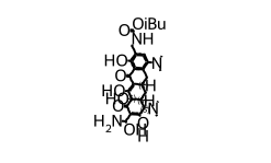 CC(C)COC(=O)NCc1cc(N(C)C)c2c(c1O)C(=O)C1=C(O)[C@]3(O)C(=O)C(C(N)O)=C(O)[C@@H](N(C)C)[C@@H]3C[C@@H]1C2